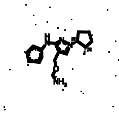 C[C@H]1CCC[C@@H]1n1cc(COCN)c(Nc2ccccc2)n1